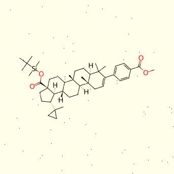 COC(=O)c1ccc(C2=CC[C@]3(C)[C@H]4CC[C@@H]5[C@H]6[C@H](C7(C)CC7)CC[C@]6(C(=O)O[Si](C)(C)C(C)(C)C)CC[C@@]5(C)[C@]4(C)CC[C@H]3C2(C)C)cc1